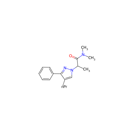 CCCc1cn(C(C)C(=O)N(C)C)nc1-c1ccccc1